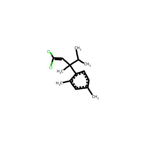 Cc1ccc(C(C)(C=C(Cl)Cl)C(C)C)c(C)c1